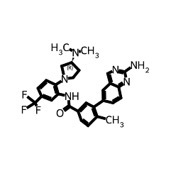 Cc1ccc(C(=O)Nc2cc(C(F)(F)F)ccc2N2CC[C@@H](N(C)C)C2)cc1-c1ccc2nc(N)ncc2c1